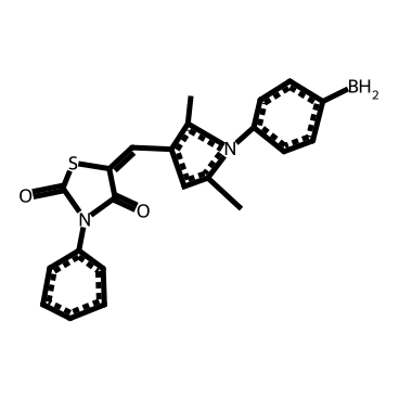 Bc1ccc(-n2c(C)cc(C=C3SC(=O)N(c4ccccc4)C3=O)c2C)cc1